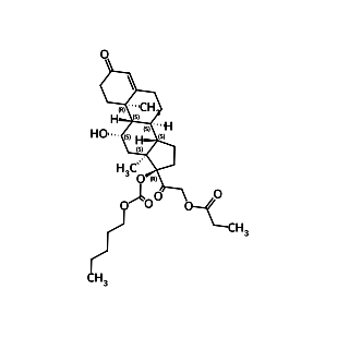 CCCCCOC(=O)O[C@]1(C(=O)COC(=O)CC)CC[C@H]2[C@@H]3CCC4=CC(=O)CC[C@]4(C)[C@H]3[C@@H](O)C[C@@]21C